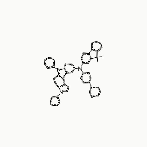 CC1(C)c2ccccc2-c2ccc(N(c3ccc(-c4ccccc4)cc3)c3ccc4c(c3)c3c5ccn(-c6ccccc6)c5ccc3n4-c3ccccc3)cc21